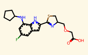 O=C(O)COCC1CSC(c2cc3cc(F)cc(NC4CCCC4)c3[nH]2)=N1